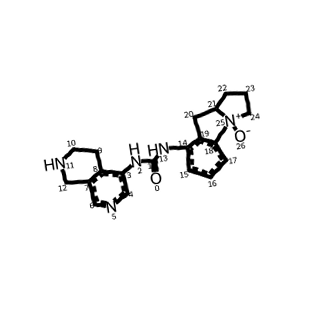 O=C(Nc1cncc2c1CCNC2)Nc1cccc2c1CC1CCC[N+]21[O-]